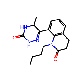 CCCCN1C(=O)CCc2cccc(C3=NNC(=O)NC3C)c21